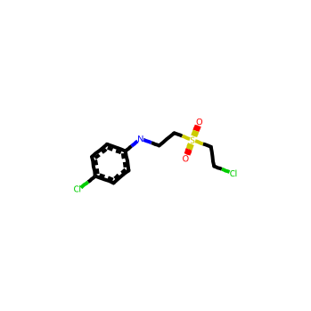 O=S(=O)(CCCl)CC[N]c1ccc(Cl)cc1